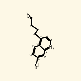 O=CCCCc1ccnc2cc(Cl)ccc12